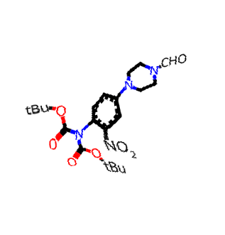 CC(C)(C)OC(=O)N(C(=O)OC(C)(C)C)c1ccc(N2CCN(C=O)CC2)cc1[N+](=O)[O-]